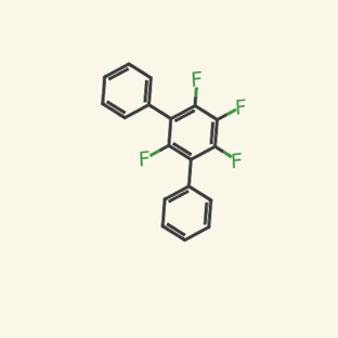 Fc1c(F)c(-c2ccccc2)c(F)c(-c2ccccc2)c1F